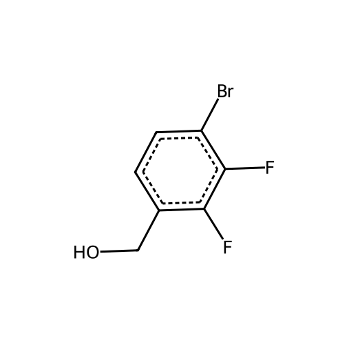 OCc1ccc(Br)c(F)c1F